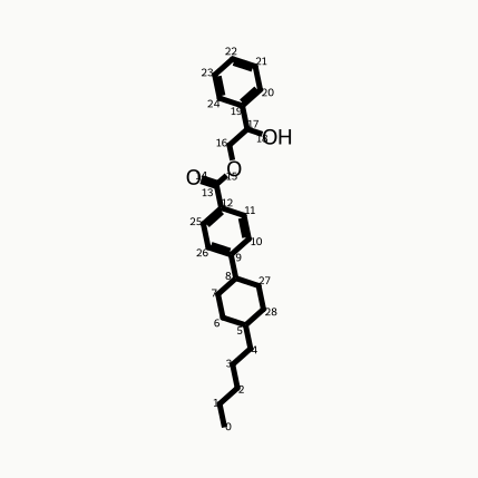 CCCCCC1CCC(c2ccc(C(=O)OCC(O)c3ccccc3)cc2)CC1